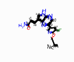 CC(C#N)COc1ncc(-c2cnc3[nH]cc(C=CC(N)=O)c3n2)cc1F